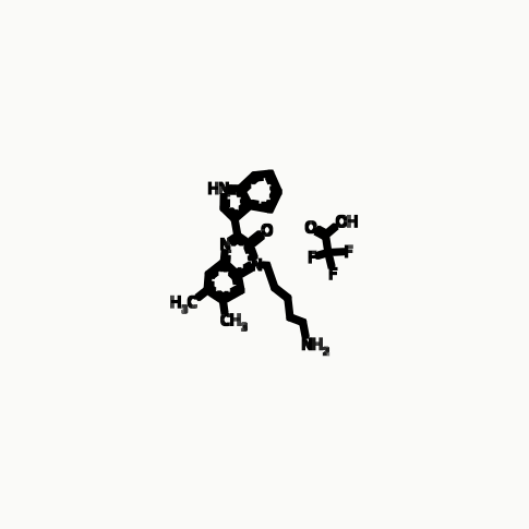 Cc1cc2nc(-c3c[nH]c4ccccc34)c(=O)n(CCCCCN)c2cc1C.O=C(O)C(F)(F)F